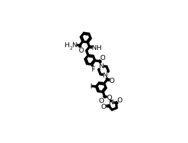 N=C(Cc1ccc(F)c(C(=O)N2CCN(C(=O)c3cc(I)cc(C(=O)ON4C(=O)CCC4=O)c3)CC2)c1)c1ccccc1C(N)=O